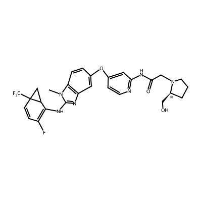 Cn1c(NC2=C(F)C=CC3(C(F)(F)F)CC23)nc2cc(Oc3ccnc(NC(=O)CN4CCC[C@H]4CO)c3)ccc21